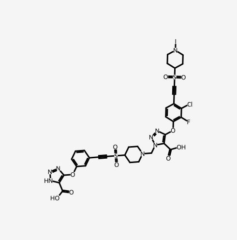 O=C(O)c1[nH]nnc1Oc1cccc(C#CS(=O)(=O)C2CCN(Cn3nnc(Oc4ccc(C#CS(=O)(=O)C5CCN(I)CC5)c(Cl)c4F)c3C(=O)O)CC2)c1